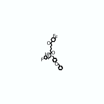 O=C(CCCCC(=O)C1CCC(F)(F)CC1)N[C@@H](Cc1ccc(OCc2ccccc2)cc1)CN1CC[C@@H](F)C1